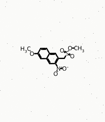 COc1ccc2cc(CS(=O)(=O)OC)c([N+](=O)[O-])cc2c1